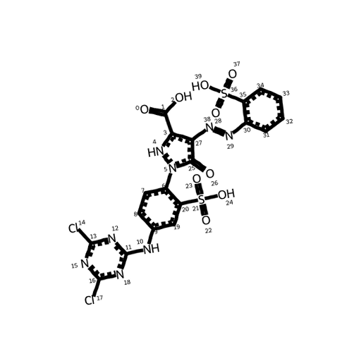 O=C(O)c1[nH]n(-c2ccc(Nc3nc(Cl)nc(Cl)n3)cc2S(=O)(=O)O)c(=O)c1N=Nc1ccccc1S(=O)(=O)O